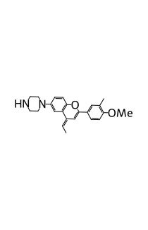 CC=C1C=C(c2ccc(OC)c(C)c2)Oc2ccc(N3CCNCC3)cc21